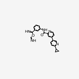 N=COC(=N)c1cccc(NC(=O)c2cc(-c3ccc(C4CC4)nc3)ccn2)c1